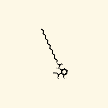 CCCCCCCCCCCCCCOC(=O)Nc1cccc(O)c1C(=O)O